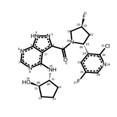 O=C(c1n[nH]c2ncnc(N[C@@H]3CCC[C@H]3O)c12)N1C[C@@H](F)C[C@@H]1c1cc(F)cnc1Cl